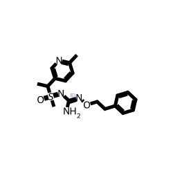 Cc1ccc(C(C)S(C)(=O)=N/C(N)=N/OCCc2ccccc2)cn1